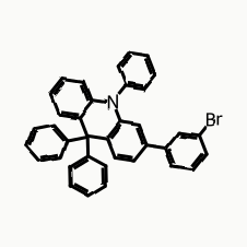 Brc1cccc(-c2ccc3c(c2)N(c2ccccc2)c2ccccc2C3(c2ccccc2)c2ccccc2)c1